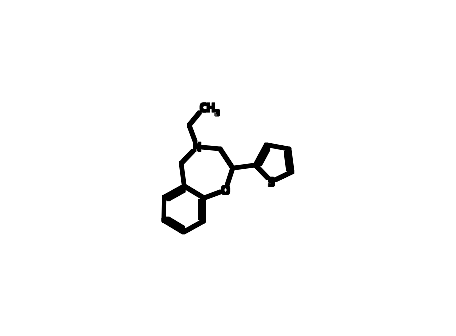 CCN1Cc2ccccc2OC(c2cccs2)C1